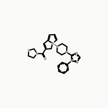 O=C(C1=CC2=CC=C[N@@+]2(N2CCN(c3ncnn3-c3ccccc3)CC2)C1)N1CCSC1